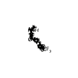 O=C(N1CC2(CCN(Cc3cccc(S(=O)(=O)C(F)(F)F)c3)CC2)C1)N1CC2(CC(c3nnc(C4CC4)[nH]3)C2)C1